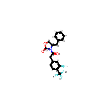 O=C(Cc1ccc(C(F)(F)F)c(F)c1)N1C(=O)OCC1Cc1ccccc1